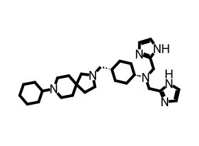 c1c[nH]c(CN(Cc2ncc[nH]2)[C@H]2CC[C@@H](CN3CCC4(CCN(C5CCCCC5)CC4)C3)CC2)n1